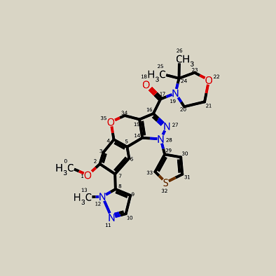 COc1cc2c(cc1-c1ccnn1C)-c1c(c(C(=O)N3CCOCC3(C)C)nn1-c1ccsc1)CO2